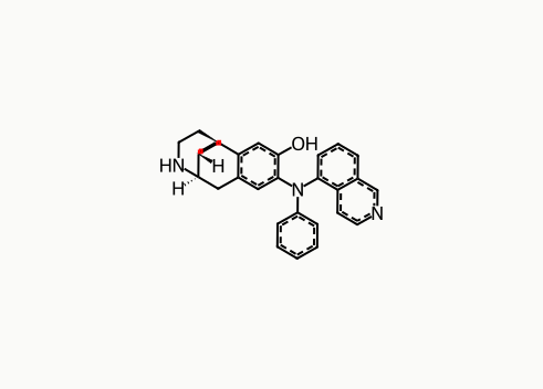 Oc1cc2c(cc1N(c1ccccc1)c1cccc3cnccc13)C[C@H]1NCC[C@@]23CCCC[C@@H]13